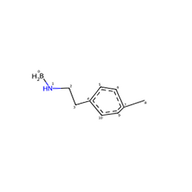 BNCCc1ccc(C)cc1